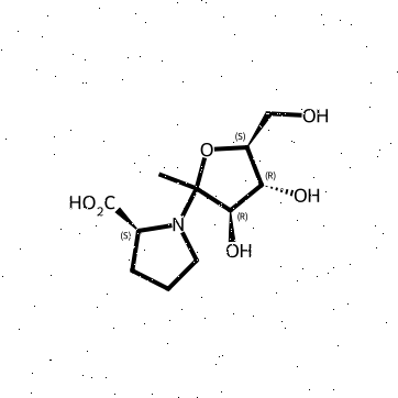 CC1(N2CCC[C@H]2C(=O)O)O[C@@H](CO)[C@H](O)[C@H]1O